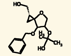 CC(C)(O)OC1CO[C@]2(C[C@@H]2CO)C1OCc1ccccc1